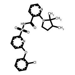 CC1CCN(c2ncccc2C(=O)NS(=O)(=O)c2cccc(Oc3ccccc3Cl)n2)C1(C)C